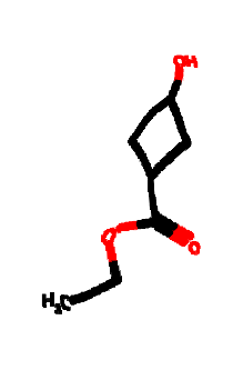 CCOC(=O)C1CC(O)C1